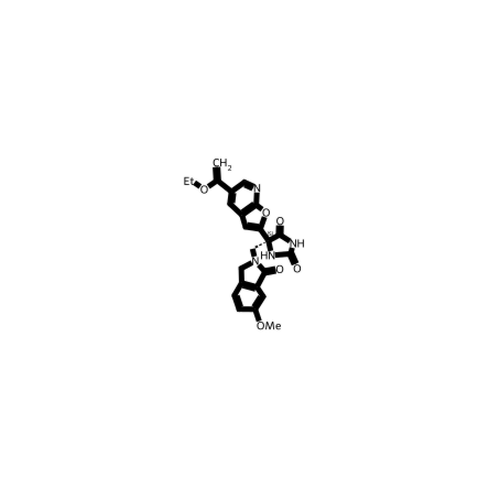 C=C(OCC)c1cnc2oc([C@]3(CN4Cc5ccc(OC)cc5C4=O)NC(=O)NC3=O)cc2c1